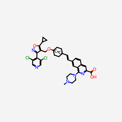 CN1CCN(c2nc(C(=O)O)cc3ccc(/C=C/C45CCC(OCc6c(-c7c(Cl)cncc7Cl)noc6C6CC6)(CC4)CC5)cc23)CC1